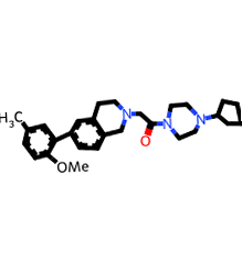 COc1ccc(C)cc1-c1ccc2c(c1)CCN(CC(=O)N1CCN(C3CCCC3)CC1)C2